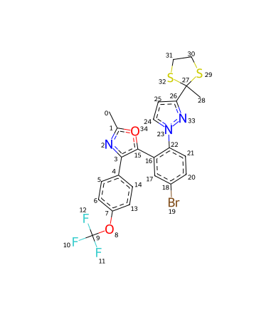 Cc1nc(-c2ccc(OC(F)(F)F)cc2)c(-c2cc(Br)ccc2-n2ccc(C3(C)SCCS3)n2)o1